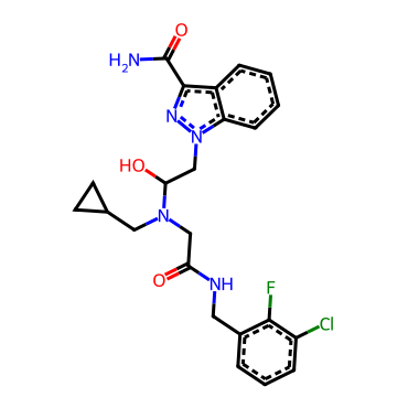 NC(=O)c1nn(CC(O)N(CC(=O)NCc2cccc(Cl)c2F)CC2CC2)c2ccccc12